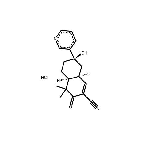 CC1(C)C(=O)C(C#N)=C[C@]2(C)C[C@@](O)(c3cccnc3)CC[C@H]12.Cl